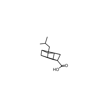 CC(C)CC12C3C4C1C1C2C3C41C(=O)O